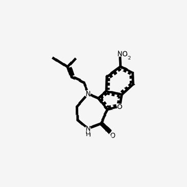 CC(C)=CCN1CCNC(=O)c2oc3ccc([N+](=O)[O-])cc3c21